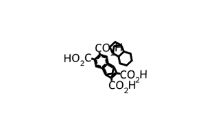 C1CCC2C3CCC(C3)C2C1.O=C(O)C1=C(C(=O)O)C2=c3cc(C(=O)O)c(C(=O)O)cc3=C1C2